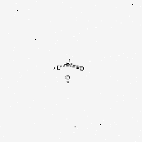 O=[NH+][O-].[O]